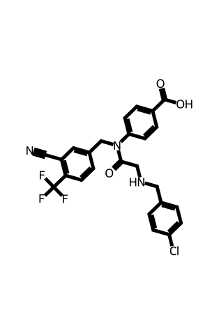 N#Cc1cc(CN(C(=O)CNCc2ccc(Cl)cc2)c2ccc(C(=O)O)cc2)ccc1C(F)(F)F